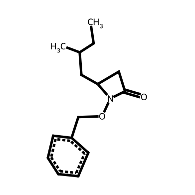 CCC(C)CC1CC(=O)N1OCc1ccccc1